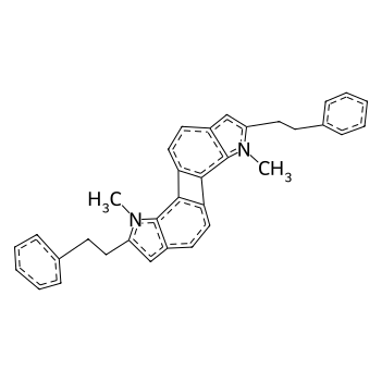 Cn1c(CCc2ccccc2)cc2ccc3c(c21)-c1ccc2cc(CCc4ccccc4)n(C)c2c1-3